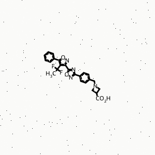 CC(F)(F)c1c(-c2nc(-c3ccc(CN4CC(C(=O)O)C4)cc3)no2)noc1-c1ccccc1